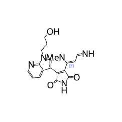 CN/C(=C\C=N)C1=C(c2cn(CCCO)c3ncccc23)C(=O)NC1=O